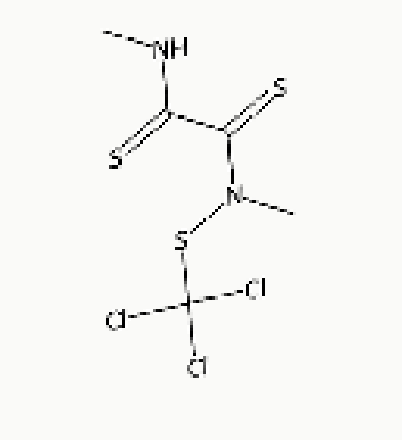 CNC(=S)C(=S)N(C)SC(Cl)(Cl)Cl